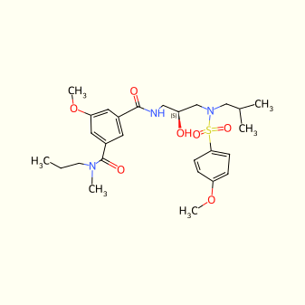 CCCN(C)C(=O)c1cc(OC)cc(C(=O)NC[C@H](O)CN(CC(C)C)S(=O)(=O)c2ccc(OC)cc2)c1